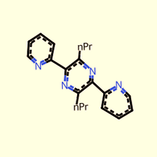 CCCc1nc(-c2ccccn2)c(CCC)nc1-c1ccccn1